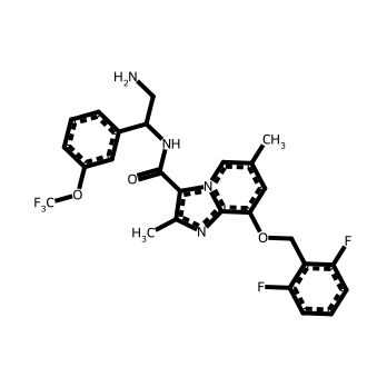 Cc1cc(OCc2c(F)cccc2F)c2nc(C)c(C(=O)NC(CN)c3cccc(OC(F)(F)F)c3)n2c1